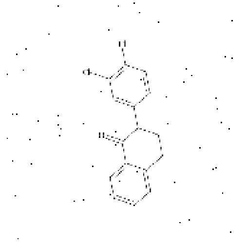 O=C1c2ccccc2CCC1c1ccc(Cl)c(Cl)c1